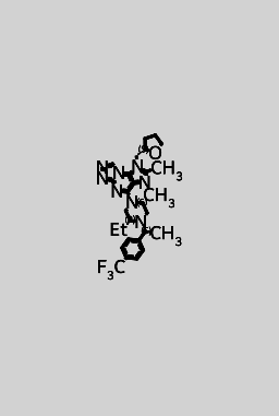 CC[C@@H]1CN(c2nc3nncn3c3c2nc(C)n3C[C@@H]2CCCO2)[C@@H](C)CN1[C@@H](C)c1ccc(C(F)(F)F)cc1